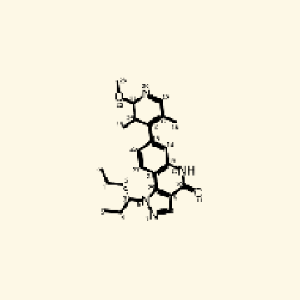 CCC[C@@H](CC)n1ncc2c(=O)[nH]c3cc(C4=C(C)C=NC(OC)C4C)ccc3c21